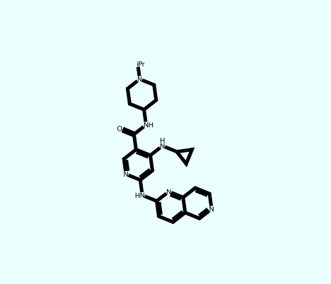 CC(C)N1CCC(NC(=O)c2cnc(Nc3ccc4cnccc4n3)cc2NC2CC2)CC1